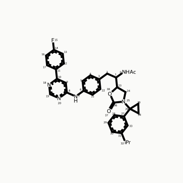 CC(=O)NC(Cc1ccc(Nc2cc(-c3ccc(F)cc3)ncn2)cc1)C1CN(C2(c3cccc(C(C)C)c3)CC2)C(=O)O1